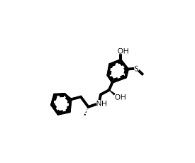 CSc1cc([C@@H](O)CN[C@H](C)Cc2ccccc2)ccc1O